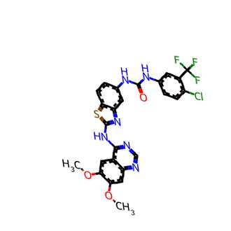 COc1cc2ncnc(Nc3nc4cc(NC(=O)Nc5ccc(Cl)c(C(F)(F)F)c5)ccc4s3)c2cc1OC